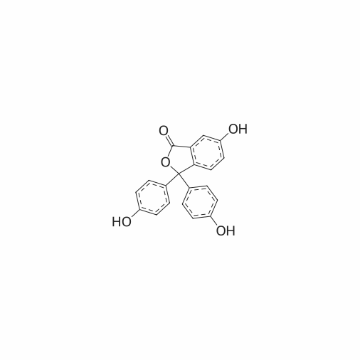 O=C1OC(c2ccc(O)cc2)(c2ccc(O)cc2)c2ccc(O)cc21